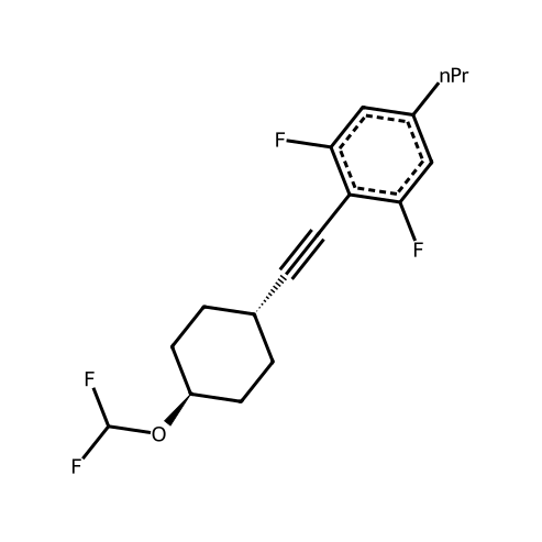 CCCc1cc(F)c(C#C[C@H]2CC[C@H](OC(F)F)CC2)c(F)c1